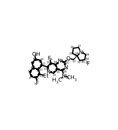 CCc1c(F)ccc2cc(O)cc(-c3ncc4c(N(C)C)nc(OC[C@@]56CCCN5C[C@H](F)C6)nc4c3F)c12